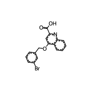 O=C(O)c1cc(OCc2cccc(Br)c2)c2ccccc2n1